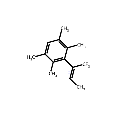 C/C=C(/c1c(C)c(C)cc(C)c1C)C(F)(F)F